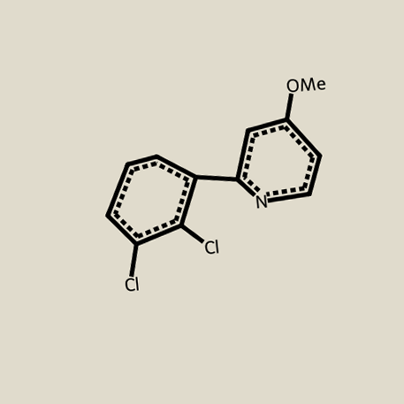 COc1ccnc(-c2cccc(Cl)c2Cl)c1